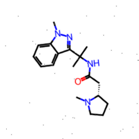 CN1CCC[C@H]1CC(=O)NC(C)(C)c1nn(C)c2ccccc12